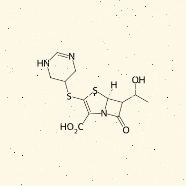 CC(O)C1C(=O)N2C(C(=O)O)=C(SC3CN=CNC3)S[C@@H]12